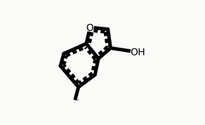 [CH2]c1ccc2occ(O)c2c1